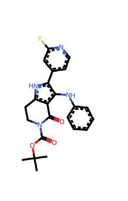 CC(C)(C)OC(=O)N1CCc2[nH]c(-c3ccnc(F)c3)c(Nc3ccccc3)c2C1=O